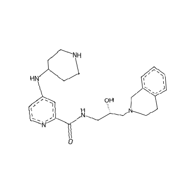 O=C(NC[C@H](O)CN1CCc2ccccc2C1)c1cc(NC2CCNCC2)ccn1